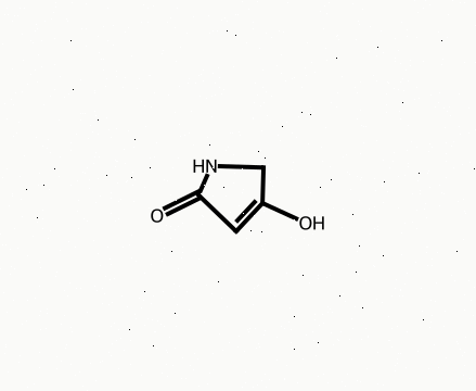 O=C1C=C(O)CN1